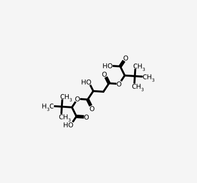 CC(C)(C)C(OC(=O)CC(O)C(=O)OC(C(=O)O)C(C)(C)C)C(=O)O